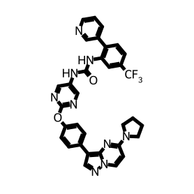 O=C(Nc1cnc(Oc2ccc(-c3cnn4ccc(N5CCCC5)nc34)cc2)nc1)Nc1cc(C(F)(F)F)ccc1-c1cccnc1